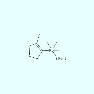 CCCC[CH2][Pt]([CH3])([CH3])([CH3])[C]1=C(C)C=CC1